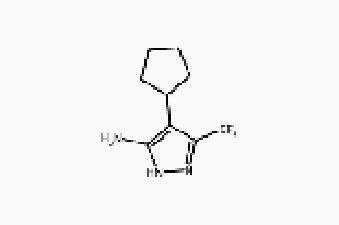 Nc1[nH]nc(C(F)(F)F)c1C1CCCC1